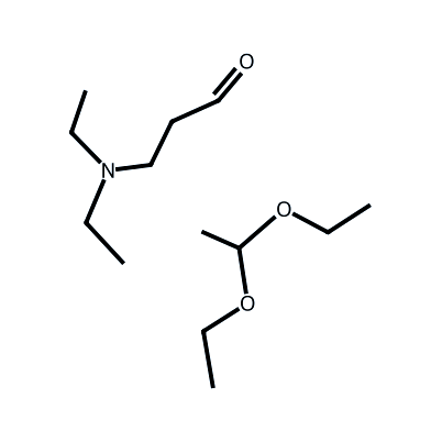 CCN(CC)CCC=O.CCOC(C)OCC